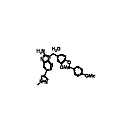 COc1ccc(COc2ccc(Cn3c(N)nc4cc(-c5cnn(C)c5)cnc43)cc2OC)cc1.O